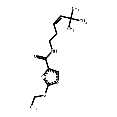 CCSc1ncc(C(=O)NCC/C=C\C(C)(C)C)s1